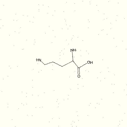 [NH]CCCC([NH])C(=O)O